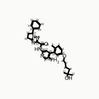 Cc1ccc(OCCCCC(C)(C)O)cc1-c1cc(NC(=O)c2nc3n(n2)C(c2ccccc2)CC3)ncc1P